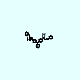 c1ccc(CCCNc2ccc(C(c3ccccc3)c3ccc(NCCCc4ccccc4)cc3)cc2)cc1